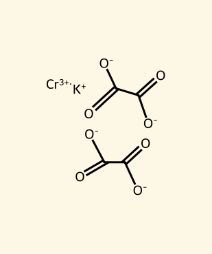 O=C([O-])C(=O)[O-].O=C([O-])C(=O)[O-].[Cr+3].[K+]